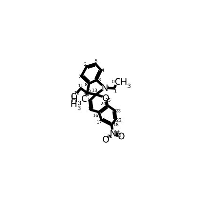 CCN1c2ccccc2C(C)(CC)C12C=Cc1cc([N+](=O)[O-])ccc1O2